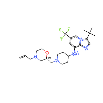 C=CCN1CCO[C@H](CN2CCC(Nc3cc(C(F)(F)F)cn4c(C(C)(C)C)cnc34)CC2)C1